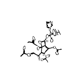 CC(=O)OC[C@H](F)C1[C@@H](OC(C)=O)C(OC(C)=O)C2[C@H](OP(=O)(O)n3ccnc3)OC21OC(C)=O